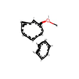 COc1cc[c]cc1.[c]1ccccc1